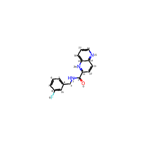 O=C(NCc1cccc(F)c1)c1ccc2ncccc2n1